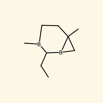 CCC1B(C)CCC2(C)CB12